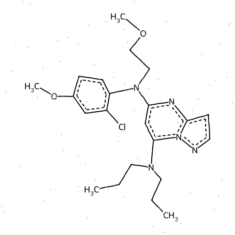 CCCN(CCC)c1cc(N(CCOC)c2ccc(OC)cc2Cl)nc2ccnn12